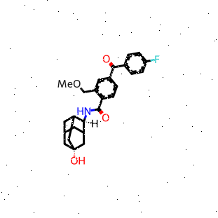 COCc1cc(C(=O)c2ccc(F)cc2)ccc1C(=O)N[C@H]1C2CC3CC1C[C@](O)(C3)C2